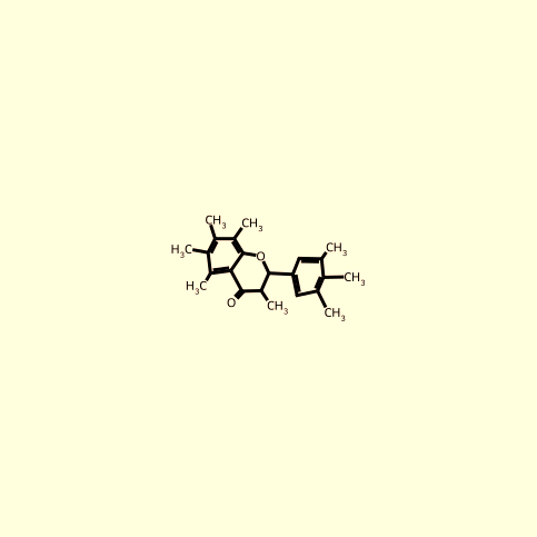 Cc1cc(C2Oc3c(C)c(C)c(C)c(C)c3C(=O)C2C)cc(C)c1C